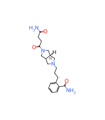 NC(=O)CCC(=O)N1CC2CN(CC[CH]c3ccccc3C(N)=O)C[C@H]2C1